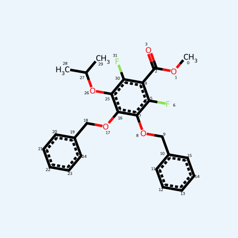 COC(=O)c1c(F)c(OCc2ccccc2)c(OCc2ccccc2)c(OC(C)C)c1F